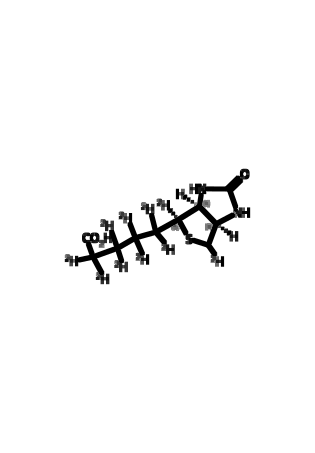 [2H]C1S[C@@]([2H])(C([2H])([2H])C([2H])([2H])C([2H])([2H])C([2H])([2H])C(=O)O)[C@H]2NC(=O)N[C@@H]12